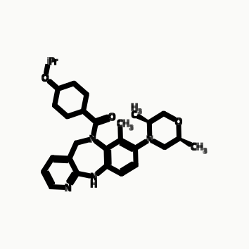 Cc1c(N2C[C@H](C)OC[C@@H]2C)ccc2c1N(C(=O)C1CCC(OC(C)C)CC1)Cc1cccnc1N2